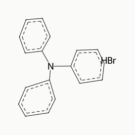 Br.c1ccc(N(c2ccccc2)c2ccccc2)cc1